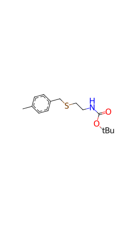 Cc1ccc(CSCCNC(=O)OC(C)(C)C)cc1